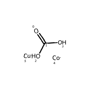 O=C(O)O.[Co].[Cu]